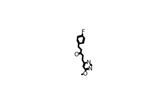 COc1cc(CCC(=O)CCc2ccc(F)cc2)ncn1